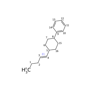 CCC/C=C/C1CCC(c2cc[c]cc2)CC1